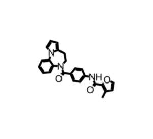 Cc1ccoc1C(=O)Nc1ccc(C(=O)N2CCc3cccn3-c3ccccc32)cc1